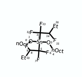 CCCCCCCC[O][Sn]([O]CCCCCCCC)([C](F)(F)C(F)CC)[C](F)(F)C(F)CC